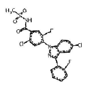 CS(=O)(=O)NC(=O)c1cc(F)c(-n2nc(-c3ccccc3F)c3cc(Cl)ccc32)cc1Cl